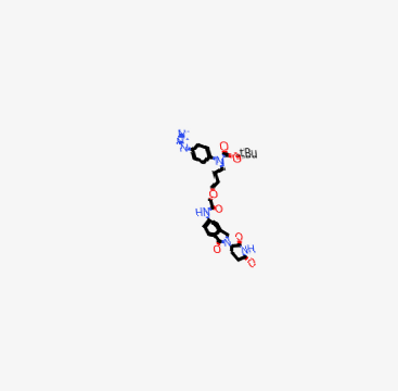 CC(C)(C)OC(=O)N(CCCCOCC(=O)Nc1ccc2c(c1)CN(C1CCC(=O)NC1=O)C2=O)C1CCC(N=[N+]=[N-])CC1